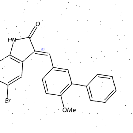 COc1ccc(/C=C2/C(=O)Nc3ccc(Br)cc32)cc1-c1ccccc1